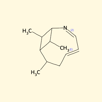 CC1C/C=C/C=N\C2C(C)C1C2C